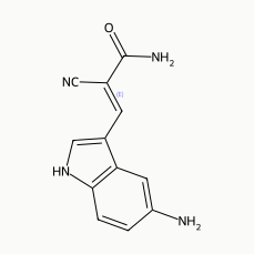 N#C/C(=C\c1c[nH]c2ccc(N)cc12)C(N)=O